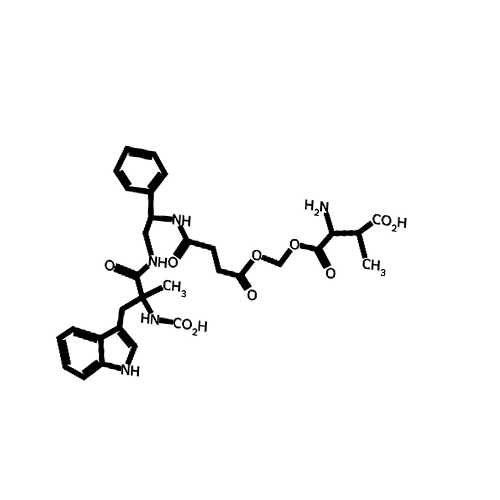 CC(C(=O)O)C(N)C(=O)OCOC(=O)CCC(=O)NC(CNC(=O)C(C)(Cc1c[nH]c2ccccc12)NC(=O)O)c1ccccc1